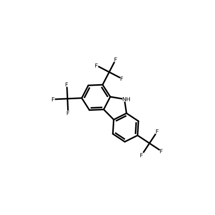 FC(F)(F)c1ccc2c(c1)[nH]c1c(C(F)(F)F)cc(C(F)(F)F)cc12